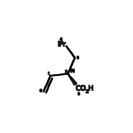 C=C[C@@H](CC(C)C)C(=O)O